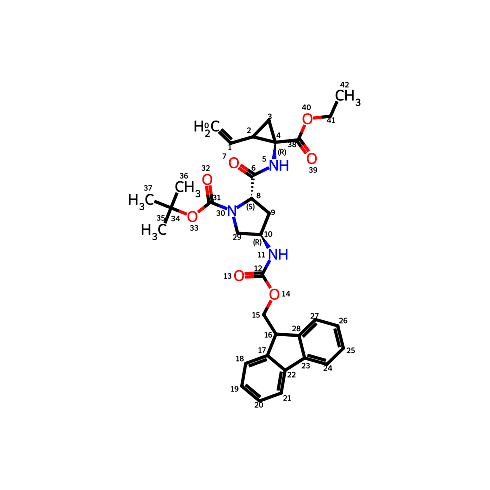 C=CC1C[C@]1(NC(=O)[C@@H]1C[C@@H](NC(=O)OCC2c3ccccc3-c3ccccc32)CN1C(=O)OC(C)(C)C)C(=O)OCC